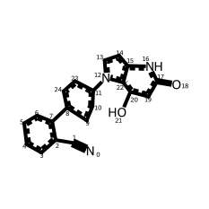 N#Cc1ccccc1-c1ccc(-n2ccc3[nH]c(=O)cc(O)c32)cc1